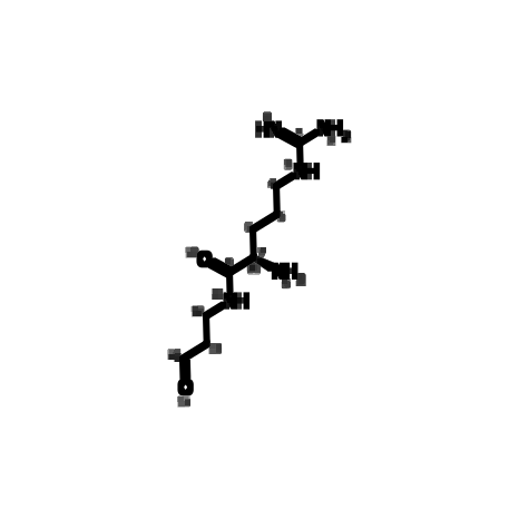 N=C(N)NCCC[C@@H](N)C(=O)NCC[C]=O